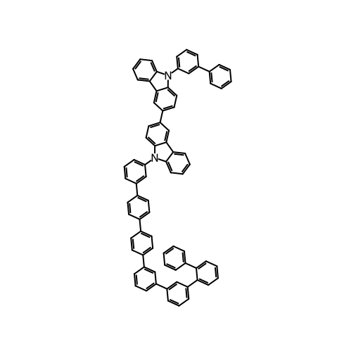 c1ccc(-c2cccc(-n3c4ccccc4c4cc(-c5ccc6c(c5)c5ccccc5n6-c5cccc(-c6ccc(-c7ccc(-c8cccc(-c9cccc(-c%10ccccc%10-c%10ccccc%10)c9)c8)cc7)cc6)c5)ccc43)c2)cc1